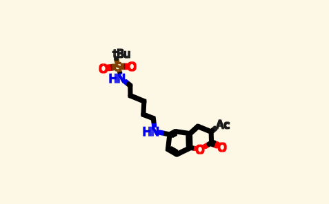 CC(=O)C1Cc2cc(NCCCCCNS(=O)(=O)C(C)(C)C)ccc2OC1=O